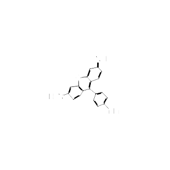 CCCc1ccc(-c2c3ccc(=N)cc-3oc3cc(N)ccc23)cc1